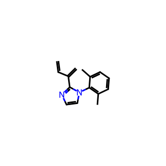 C=CC(=C)c1nccn1-c1c(C)cccc1C